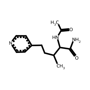 CC(=O)NC(C(N)=O)C(C)CCc1ccncc1